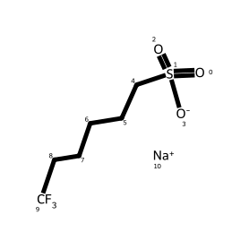 O=S(=O)([O-])CCCCCC(F)(F)F.[Na+]